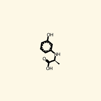 C[C@H](Nc1cccc(O)c1)C(=O)O